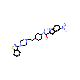 O=C(NC1CCC(CCN2CCN(c3nsc4ccccc34)CC2)CC1)c1cc2cc([N+](=O)[O-])ccc2[nH]1